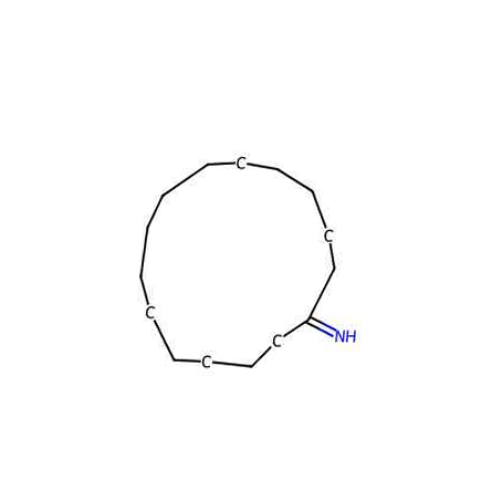 N=C1CCCCCCCCCCCCCC1